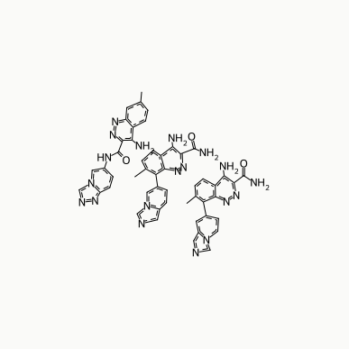 Cc1ccc2c(N)c(C(=O)Nc3ccc4nncn4c3)nnc2c1.Cc1ccc2c(N)c(C(N)=O)nnc2c1-c1ccc2cncn2c1.Cc1ccc2c(N)c(C(N)=O)nnc2c1-c1ccn2cncc2c1